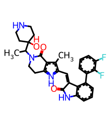 Cc1c(C=C2C(=O)Nc3cccc(-c4cccc(F)c4F)c32)[nH]c2c1C(=O)N(C(C)C1(O)CCNCC1)CC2